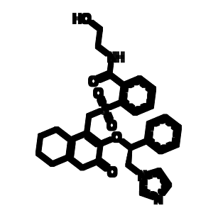 O=C1CC2=C(CCCC2)C(CS(=O)(=O)c2ccccc2C(=O)NCCO)=C1O[C@H](Cn1ccnc1)c1ccccc1